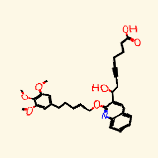 COc1cc(CCCCCOc2nc3ccccc3cc2C(O)CC#CCCCC(=O)O)cc(OC)c1OC